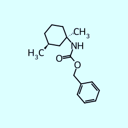 C[C@H]1CCC[C@@](C)(NC(=O)OCc2ccccc2)C1